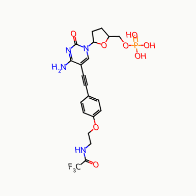 Nc1nc(=O)n(C2CCC(CO[PH](O)(O)O)O2)cc1C#Cc1ccc(OCCNC(=O)C(F)(F)F)cc1